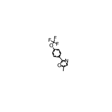 Cc1cnc(-c2ccc(OC(F)(F)F)cc2)o1